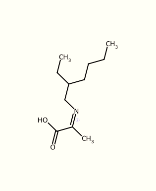 CCCCC(CC)C/N=C(/C)C(=O)O